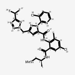 CSC[C@H](C)NC(=O)c1cc(Cl)cc(C)c1NC(=O)c1cc(Cn2nnc(C(F)F)n2)nn1-c1ncccc1Cl